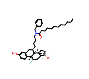 CCCCCCCCCCCC(=O)N(CCCC[C@@H]1Cc2cc(O)ccc2[C@@H]2[C@@H]1[C@@H]1CC[C@H](O)[C@@]1(C)C[C@@H]2F)Cc1ccccc1